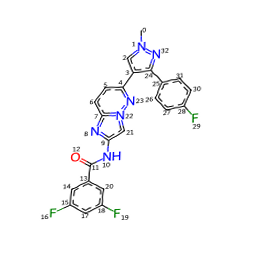 Cn1cc(-c2ccc3nc(NC(=O)c4cc(F)cc(F)c4)cn3n2)c(-c2ccc(F)cc2)n1